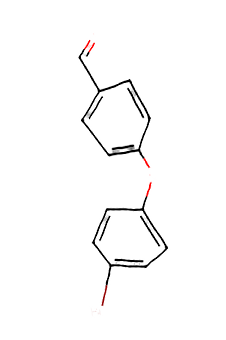 O=Cc1ccc(Oc2ccc(Br)cc2)cc1